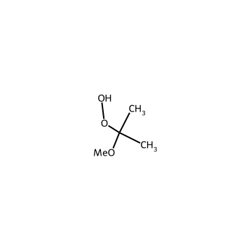 COC(C)(C)OO